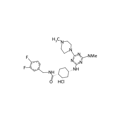 CNc1nc(N[C@H]2CC[C@@H](C(=O)NCc3ccc(F)c(F)c3)CC2)nc(N2CCN(C)CC2)n1.Cl